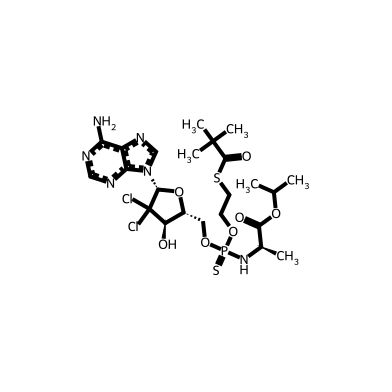 CC(C)OC(=O)[C@@H](C)NP(=S)(OCCSC(=O)C(C)(C)C)OC[C@H]1O[C@@H](n2cnc3c(N)ncnc32)C(Cl)(Cl)[C@@H]1O